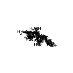 CC(C)[C@H](NC(=O)[C@H](Cc1ccccc1)NC(=O)[C@@H]1CCCN1C(=O)CNC(=O)CNC(=O)[C@H](CO)NC(=O)[C@H](CC(=O)O)NC(=O)CNC(=O)[C@H](CCC(=O)O)NC(=O)[C@H](CS)NC(=O)[C@H](C)NC(=O)[C@H](CC(=O)O)NC(=O)CNC(=O)[C@H](CCCNC(=N)N)NC(=O)[C@H](CCCCN)NC(=O)CNC(=O)[C@H](CCC(=O)O)NC(=O)[C@H](CC(=O)O)NC(=O)[C@@H]1CCCN1C(=O)[C@@H](N)CCCCN)C(=O)O